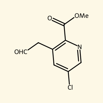 COC(=O)c1ncc(Cl)cc1CC=O